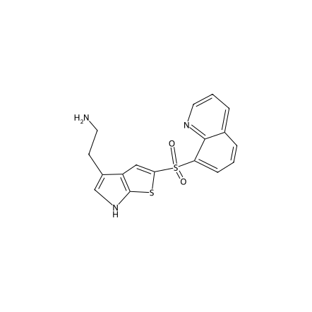 NCCc1c[nH]c2sc(S(=O)(=O)c3cccc4cccnc34)cc12